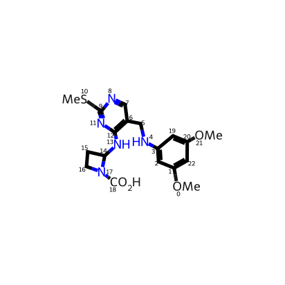 COc1cc(NCc2cnc(SC)nc2NC2CCN2C(=O)O)cc(OC)c1